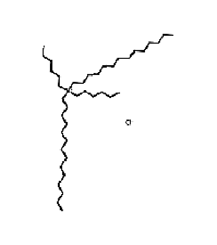 CCCCCCCCCCCCCC[N+](CCCCCC)(CCCCCC)CCCCCCCCCCCCCC.[Cl-]